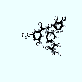 CN(C(=O)c1cc(C(F)(F)F)cc(C(F)(F)F)c1)[C@@H]1CCN(C(=O)C(N)=O)C[C@H]1c1ccc(Cl)c(Cl)c1